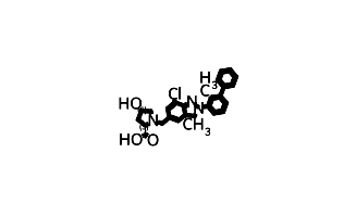 Cc1c(-c2ccccc2)cccc1N1CC2(C)C=C(CN3C[C@@H](O)C[C@H]3C(=O)O)C=C(Cl)C2=N1